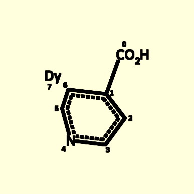 O=C(O)c1ccncc1.[Dy]